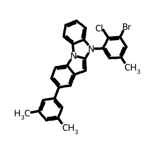 Cc1cc(C)cc(-c2ccc3c(c2)cc2n(-c4cc(C)cc(Br)c4Cl)c4ccccc4n32)c1